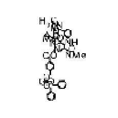 CNC(=O)c1cn(COC(=O)c2ccc(COP(=O)(OCc3ccccc3)OCc3ccccc3)cc2)/c(=N/C(=O)C2CC2)cc1Nc1cccc(-c2nnn(C)n2)c1OC